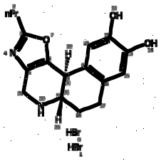 Br.Br.CCCc1nc2c(o1)[C@H]1c3cc(O)c(O)cc3CC[C@@H]1NC2